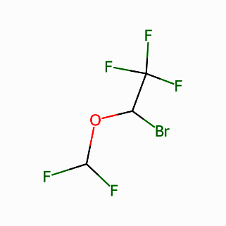 FC(F)OC(Br)C(F)(F)F